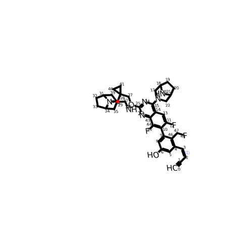 C#C/C=C\c1cc(O)cc(-c2c(F)cc3c(N4CC5CCC(C4)N5)nc(OCC4(CN5C6CCC5CC(CN)C6)CC4)nc3c2F)c1CF